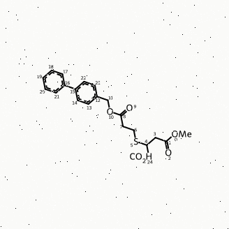 COC(=O)CC(SCCC(=O)OCc1ccc(-c2ccccc2)cc1)C(=O)O